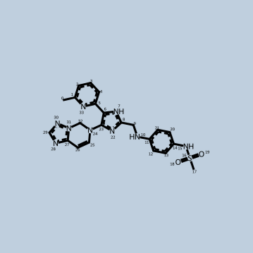 Cc1cccc(-c2[nH]c(CNc3ccc(NS(C)(=O)=O)cc3)nc2N2C=Cc3ncnn3C2)n1